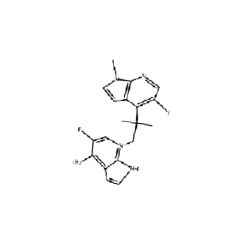 Cn1ccc2c(C(C)(C)C[n+]3cc(F)c(C(C)(C)C)c4cc[nH]c43)c(F)cnc21